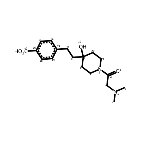 CN(C)CC(=O)N1CCC(O)(CCc2ccc(C(=O)O)cc2)CC1